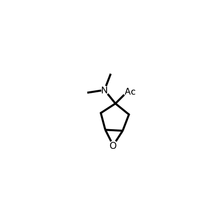 CC(=O)C1(N(C)C)CC2OC2C1